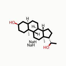 CC(O)[C@H]1CC[C@H]2[C@@H]3CC[C@@H]4C[C@H](O)CC[C@]4(C)[C@H]3CC[C@]12C.[NaH].[NaH]